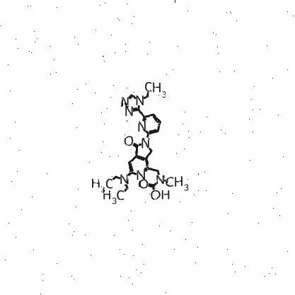 CCN(CC)c1cc2c(c(CN(C)C(=O)O)n1)CN(c1cccc(-c3nncn3CC)n1)C2=O